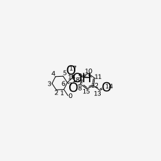 CC1CCCCC1(Oc1cccc(C=O)c1)C(=O)O